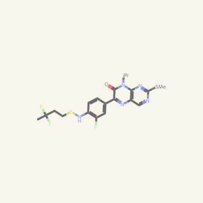 CSc1ncc2nc(-c3ccc(NSCCC(C)(F)F)c(F)c3)c(=O)n(C(C)C)c2n1